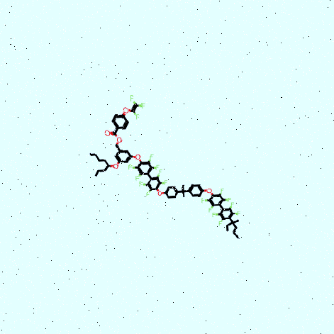 CCCCC(CCC)Oc1cc(COC(=O)c2ccc(OC(F)=C(F)F)cc2)cc(Oc2c(F)c(F)c(-c3c(F)c(F)c(Oc4ccc(C(C)(C)c5ccc(Oc6c(F)c(F)c(-c7c(F)c(F)c(C(C)(CC)CCC)c(F)c7F)c(F)c6F)cc5)cc4)c(F)c3F)c(F)c2F)c1